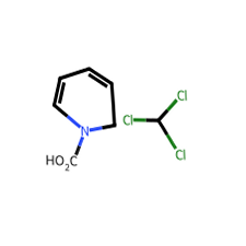 ClC(Cl)Cl.O=C(O)N1C=CC=CC1